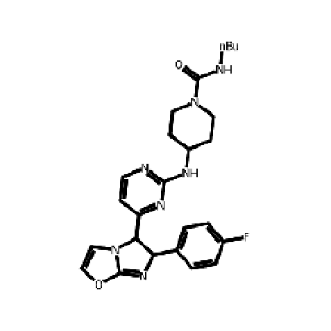 CCCCNC(=O)N1CCC(Nc2nccc(C3C(c4ccc(F)cc4)N=C4OC=CN43)n2)CC1